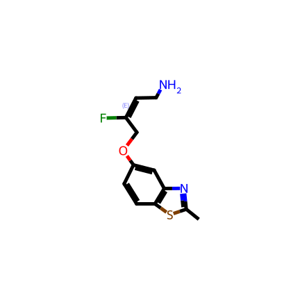 Cc1nc2cc(OC/C(F)=C\CN)ccc2s1